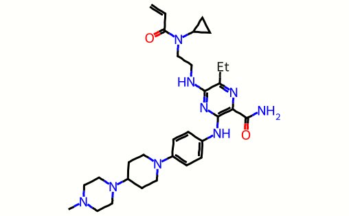 C=CC(=O)N(CCNc1nc(Nc2ccc(N3CCC(N4CCN(C)CC4)CC3)cc2)c(C(N)=O)nc1CC)C1CC1